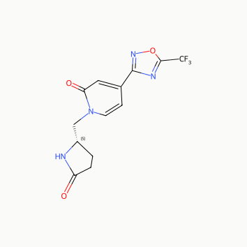 O=C1CC[C@@H](Cn2ccc(-c3noc(C(F)(F)F)n3)cc2=O)N1